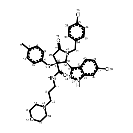 Cc1ccc(S[C@@]2(C(=O)NCCCN3CCOCC3)CC(=O)N(Cc3ccc(Cl)cc3)[C@H]2c2n[nH]c3cc(Cl)ccc23)cc1